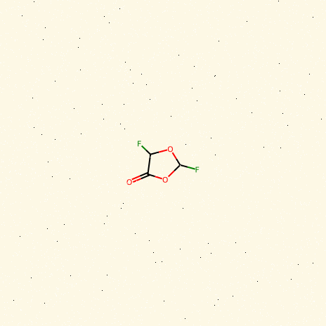 O=C1OC(F)OC1F